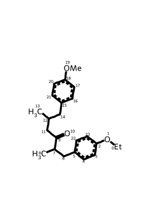 CCOc1ccc(CC(C)C(=O)CC(C)Cc2ccc(OC)cc2)cc1